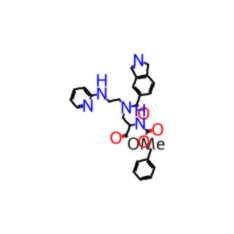 COC(=O)C(CN(CCNc1ccccn1)C(=O)c1ccc2c(c1)C=NC2)NC(=O)OCc1ccccc1